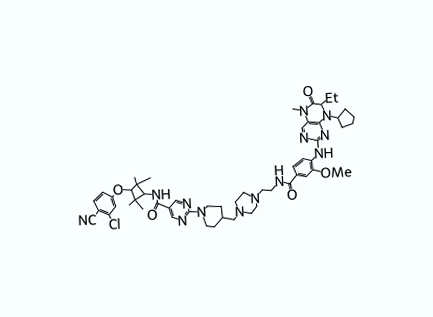 CCC1C(=O)N(C)c2cnc(Nc3ccc(C(=O)NCCN4CCN(CC5CCN(c6ncc(C(=O)NC7C(C)(C)C(Oc8ccc(C#N)c(Cl)c8)C7(C)C)cn6)CC5)CC4)cc3OC)nc2N1C1CCCC1